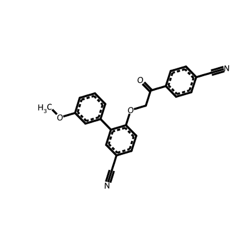 COc1cccc(-c2cc(C#N)ccc2OCC(=O)c2ccc(C#N)cc2)c1